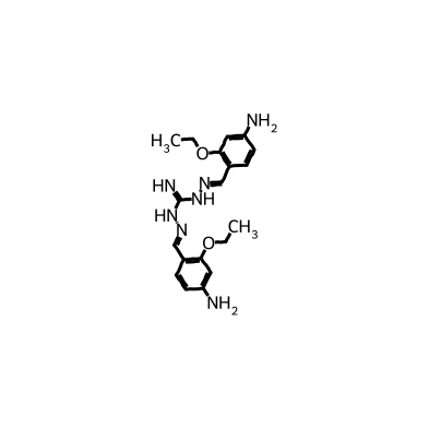 CCOc1cc(N)ccc1C=NNC(=N)NN=Cc1ccc(N)cc1OCC